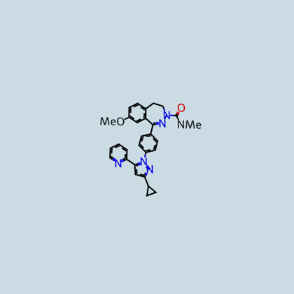 CNC(=O)N1CCc2ccc(OC)cc2C(c2ccc(-n3nc(C4CC4)cc3-c3ccccn3)cc2)=N1